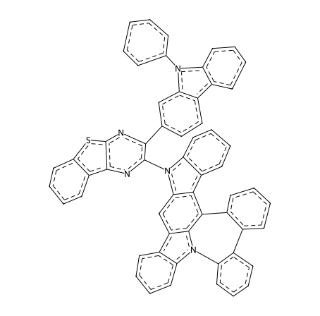 c1ccc(-n2c3ccccc3c3ccc(-c4nc5sc6ccccc6c5nc4-n4c5ccccc5c5c6c7c(cc54)c4ccccc4n7-c4ccccc4-c4ccccc4-6)cc32)cc1